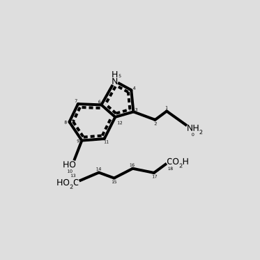 NCCc1c[nH]c2ccc(O)cc12.O=C(O)CCCCC(=O)O